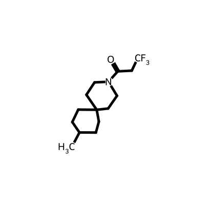 CC1CCC2(CC1)CCN(C(=O)CC(F)(F)F)CC2